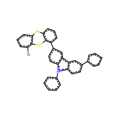 Brc1cccc2c1Sc1c(cccc1-c1ccc3c(c1)c1cc(-c4ccccc4)ccc1n3-c1ccccc1)S2